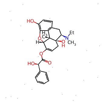 CCN(C)[C@@H]1Cc2ccc(O)c3c2[C@@]2(C)[C@@H](O3)C(OC(=O)[C@H](O)c3ccccc3)=CC[C@@]12O